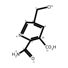 NC(=O)c1ncc(CCl)cc1C(=O)O